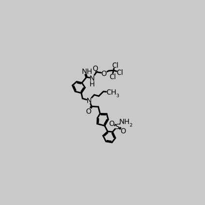 CCCCN(Cc1cccc(C(=N)NC(=O)OCC(Cl)(Cl)Cl)c1)C(=O)Cc1ccc(-c2ccccc2S(N)(=O)=O)cc1